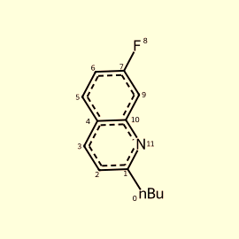 CCCCc1ccc2ccc(F)cc2n1